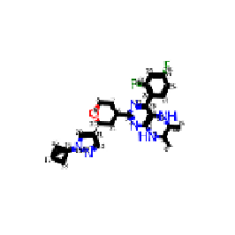 CC1Nc2nc(C3CCO[C@@H](c4cnn(C56CC(C5)C6)c4)C3)nc(-c3ccc(F)cc3F)c2NC1C